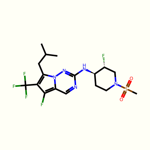 CC(C)Cc1c(C(F)(F)F)c(F)c2cnc(N[C@@H]3CCN(S(C)(=O)=O)C[C@H]3F)nn12